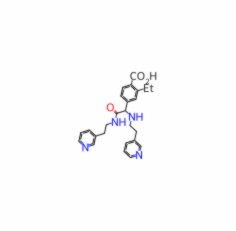 CCc1cc(C(NCCc2cccnc2)C(=O)NCCc2cccnc2)ccc1C(=O)O